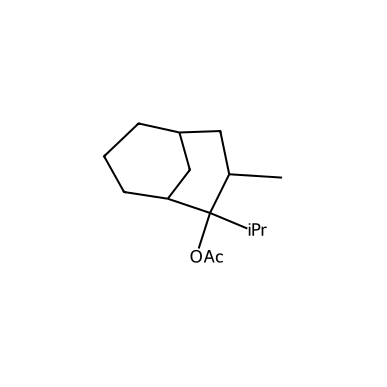 CC(=O)OC1(C(C)C)C(C)CC2CCCC1C2